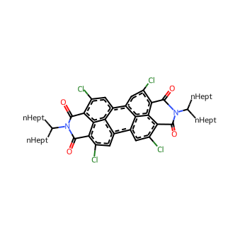 CCCCCCCC(CCCCCCC)N1C(=O)c2c(Cl)cc3c4cc(Cl)c5c6c(c(Cl)cc(c7cc(Cl)c(c2c37)C1=O)c64)C(=O)N(C(CCCCCCC)CCCCCCC)C5=O